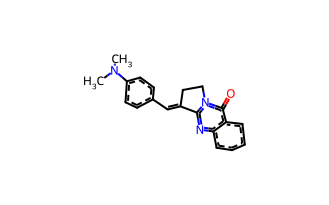 CN(C)c1ccc(C=C2CCn3c2nc2ccccc2c3=O)cc1